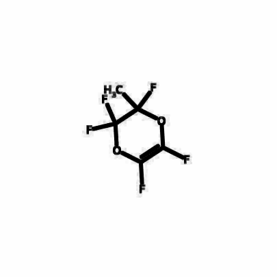 CC1(F)OC(F)=C(F)OC1(F)F